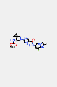 Cc1cn2cc(NC(=O)c3cnc(N4C[C@@H](NC(=O)OC(C)(C)C)C5(CC5)C4)cn3)cc(F)c2n1